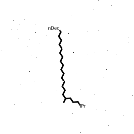 CCCCCCCCCCCCCCCCCCCCCCCCCCC(C)CCCC(C)C